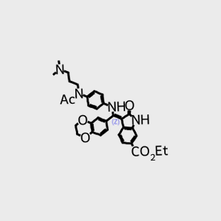 CCOC(=O)c1ccc2c(c1)NC(=O)/C2=C(\Nc1ccc(N(CCCN(C)C)C(C)=O)cc1)c1ccc2c(c1)OCCO2